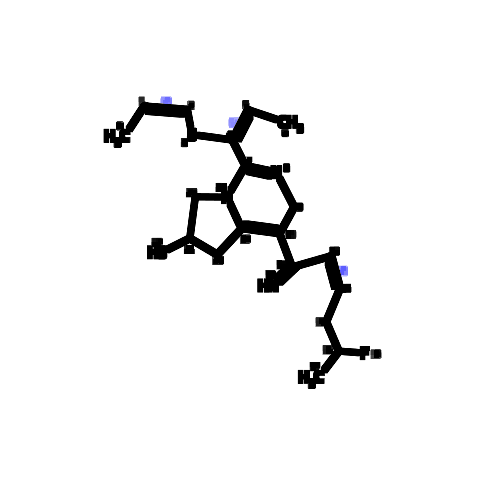 C/C=C\S/C(=C/C)C1=NCC(C(=N)/C=C\CC(C)F)=C2CC(S)CN12